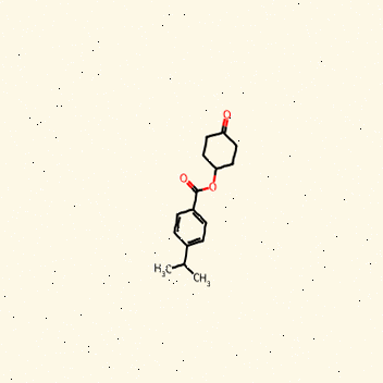 CC(C)c1ccc(C(=O)OC2CCC(=O)CC2)cc1